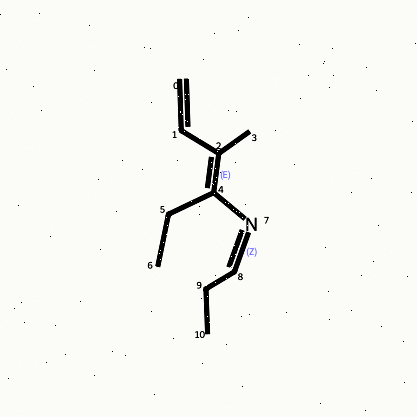 C=C/C(C)=C(CC)/N=C\CC